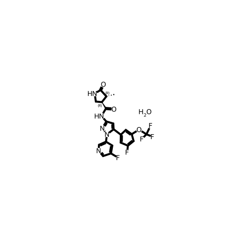 C[C@H]1C(=O)NC[C@@H]1C(=O)Nc1cc(-c2cc(F)cc(OC(F)(F)F)c2)n(-c2cncc(F)c2)n1.O